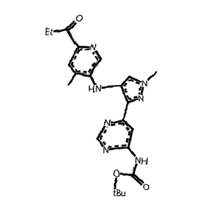 CCC(=O)c1cc(C)c(Nc2cn(C)nc2-c2cc(NC(=O)OC(C)(C)C)ncn2)cn1